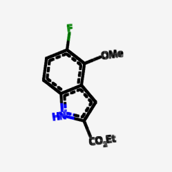 CCOC(=O)c1cc2c(OC)c(F)ccc2[nH]1